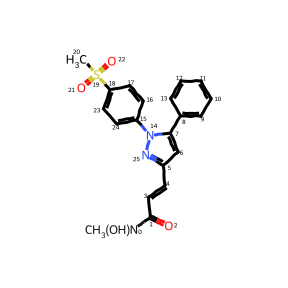 CN(O)C(=O)C=Cc1cc(-c2ccccc2)n(-c2ccc(S(C)(=O)=O)cc2)n1